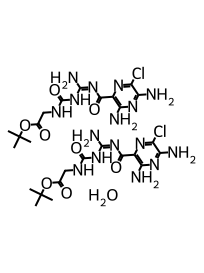 CC(C)(C)OC(=O)CNC(=O)N/C(N)=N\C(=O)c1nc(Cl)c(N)nc1N.CC(C)(C)OC(=O)CNC(=O)N/C(N)=N\C(=O)c1nc(Cl)c(N)nc1N.O